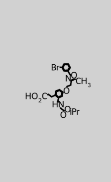 Cc1oc(-c2cccc(Br)c2)nc1CCOc1ccc(CCC(=O)O)c(CNCC(=O)OC(C)C)c1